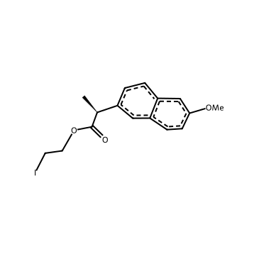 COc1ccc2cc([C@H](C)C(=O)OCCI)ccc2c1